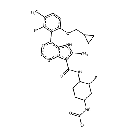 CCC(=O)NC1CCC(NC(=O)c2c(C)[nH]c3c(-c4c(OCC5CC5)ccc(C)c4F)ncnc23)C(F)C1